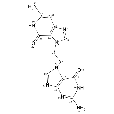 Nc1nc2ncn(CCn3cnc4nc(N)[nH]c(=O)c43)c2c(=O)[nH]1